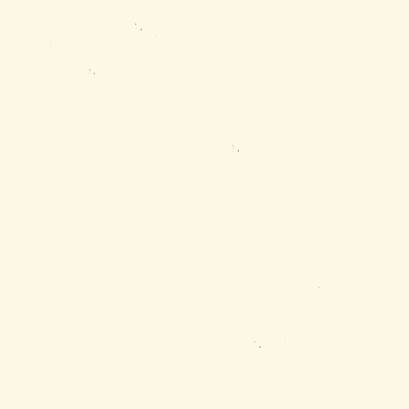 N/C(=N\O)c1ccc(N2CCC(OCc3c(-c4c(Cl)cccc4Cl)noc3C3CC3)C2)cc1